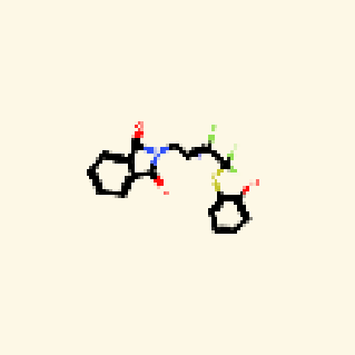 O=C1c2ccccc2C(=O)N1C/C=C(\F)C(F)(F)Sc1ccccc1O